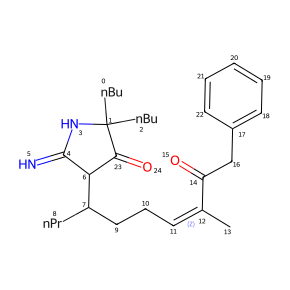 CCCCC1(CCCC)NC(=N)C(C(CCC)CC/C=C(/C)C(=O)Cc2ccccc2)C1=O